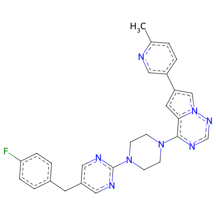 Cc1ccc(-c2cc3c(N4CCN(c5ncc(Cc6ccc(F)cc6)cn5)CC4)ncnn3c2)cn1